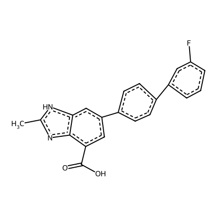 Cc1nc2c(C(=O)O)cc(-c3ccc(-c4cccc(F)c4)cc3)cc2[nH]1